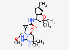 COCC[C@H](C1C[C@H]1C(=O)N[C@@H]1CC(C)(C)Oc2cc(C)ccc21)N1C(=N)NC(C)(C)CC1=O